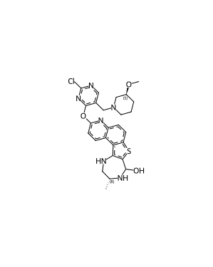 CO[C@H]1CCCN(Cc2cnc(Cl)nc2Oc2ccc3c(ccc4sc5c(c43)NC[C@@H](C)NC5O)n2)C1